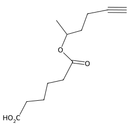 C#CCCC(C)OC(=O)CCCCC(=O)O